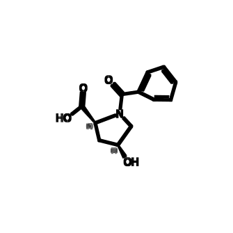 O=C(O)[C@@H]1C[C@H](O)CN1C(=O)c1ccccc1